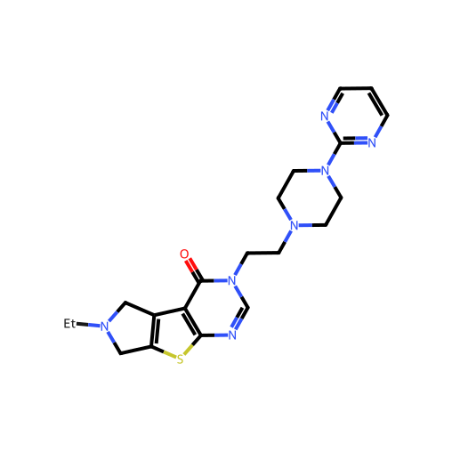 CCN1Cc2sc3ncn(CCN4CCN(c5ncccn5)CC4)c(=O)c3c2C1